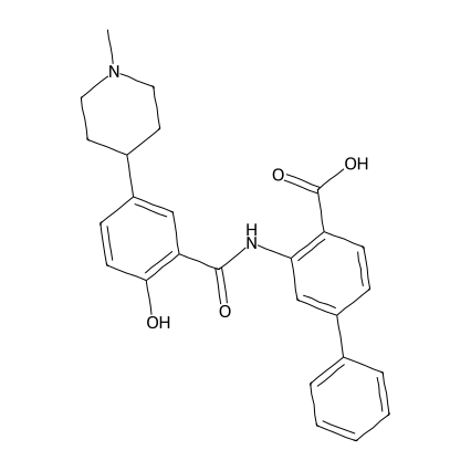 CN1CCC(c2ccc(O)c(C(=O)Nc3cc(-c4ccccc4)ccc3C(=O)O)c2)CC1